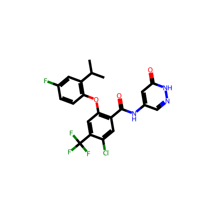 CC(C)c1cc(F)ccc1Oc1cc(C(F)(F)F)c(Cl)cc1C(=O)Nc1cn[nH]c(=O)c1